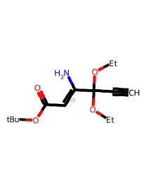 C#CC(OCC)(OCC)/C(N)=C/C(=O)OC(C)(C)C